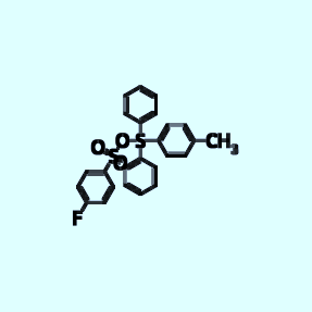 Cc1ccc(S(OS(=O)(=O)c2ccc(F)cc2)(c2ccccc2)c2ccccc2)cc1